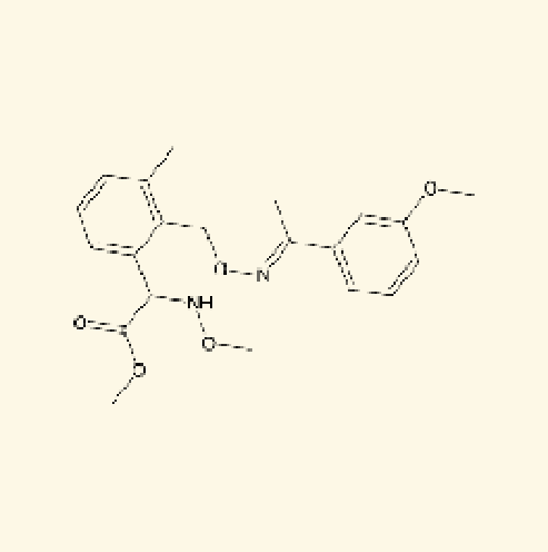 CONC(C(=O)OC)c1cccc(C)c1CO/N=C(\C)c1cccc(OC)c1